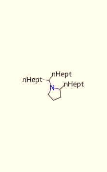 CCCCCCCC(CCCCCCC)N1CCCC1CCCCCCC